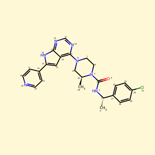 C[C@H](NC(=O)N1CCN(c2ncnc3[nH]c(-c4ccncc4)cc23)C[C@@H]1C)c1ccc(Cl)cc1